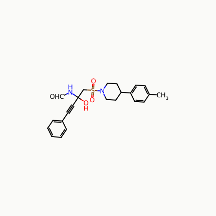 Cc1ccc(C2CCN(S(=O)(=O)CC(O)(C#Cc3ccccc3)NC=O)CC2)cc1